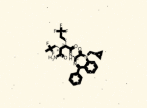 CC(F)(F)C[C@@H](C(N)=O)[C@H](CCC(F)(F)F)C(=O)N[C@H]1N=C(c2ccccc2)c2ccccc2N(CC2CC2)C1=O